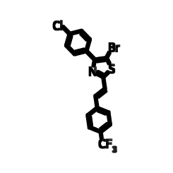 FC(F)(F)c1ccc(C=Cc2nc(-c3ccc(Cl)cc3)c(Br)s2)cc1